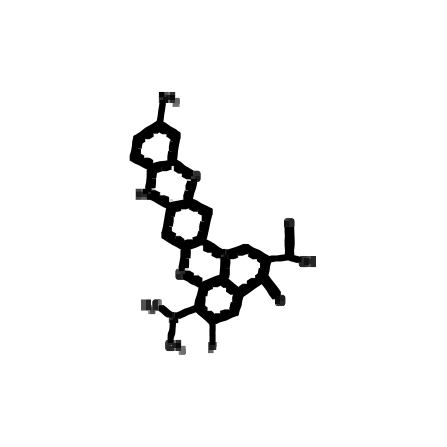 CN(C)c1c(F)cc2c(=O)c(C(=O)O)cn3c4cc5oc6cc(N)ccc6[nH]c5cc4oc1c23